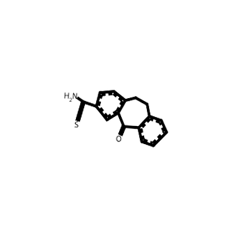 NC(=S)c1ccc2c(c1)C(=O)c1ccccc1CC2